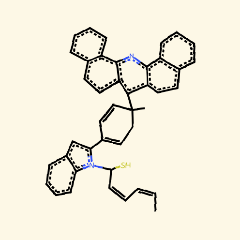 C/C=C\C=C/C(S)n1c(C2=CCC(C)(c3c4ccc5ccccc5c4nc4c3ccc3ccccc34)C=C2)cc2ccccc21